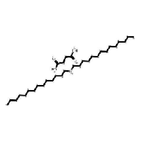 CCCCCCCCCCCCCCOCCCCCCCCCCCCCC.O=C(O)CCC(=O)O